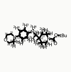 [2H]c1c([2H])c(N([2H])C([2H])([2H])C2([2H])C([2H])([2H])C([2H])([2H])N(C(=O)OC(C)(C)C)C([2H])([2H])C2([2H])[2H])c([2H])c([2H])c1N1CCOCC1([2H])[2H]